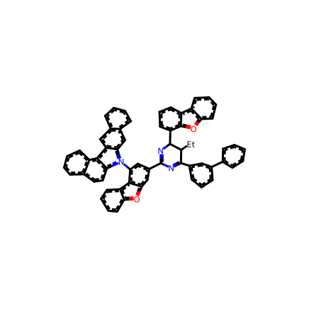 CCC1C(c2cccc(-c3ccccc3)c2)=NC(c2cc(-n3c4cc5ccccc5cc4c4c5ccccc5ccc43)c3c(c2)oc2ccccc23)=NC1c1cccc2c1oc1ccccc12